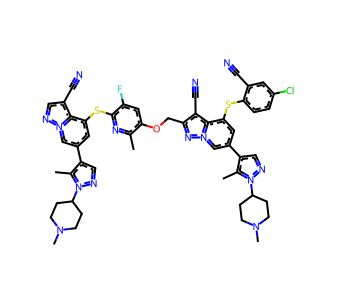 Cc1nc(Sc2cc(-c3cnn(C4CCN(C)CC4)c3C)cn3ncc(C#N)c23)c(F)cc1OCc1nn2cc(-c3cnn(C4CCN(C)CC4)c3C)cc(Sc3ccc(Cl)cc3C#N)c2c1C#N